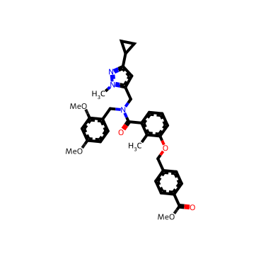 COC(=O)c1ccc(COc2cccc(C(=O)N(Cc3ccc(OC)cc3OC)Cc3cc(C4CC4)nn3C)c2C)cc1